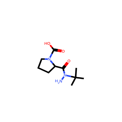 CC(C)(C)N(N)C(=O)C1CCCN1C(=O)O